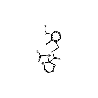 CCC(=O)NC1(C(=O)NCc2cccc(OC(F)(F)F)c2F)C=NC=CN1